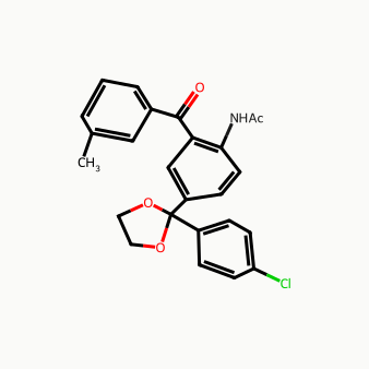 CC(=O)Nc1ccc(C2(c3ccc(Cl)cc3)OCCO2)cc1C(=O)c1cccc(C)c1